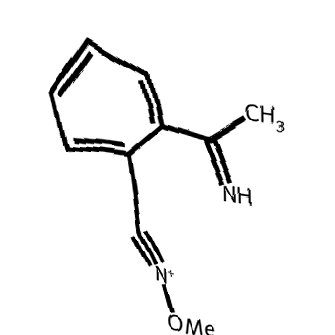 CO[N+]#Cc1ccccc1C(C)=N